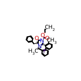 C=CCOC(=O)N1C(=O)[C@H](Cc2ccccc2)N([C@H](C)c2ccccc2)[C@H]1c1c(C)cccc1I